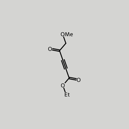 CCOC(=O)C#CC(=O)COC